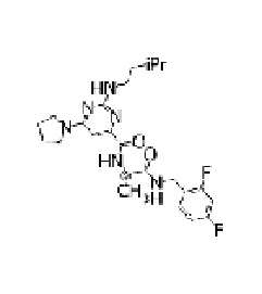 CC(C)CCNc1nc(C(=O)N[C@@H](C)C(=O)NCc2ccc(F)cc2F)cc(N2CCCC2)n1